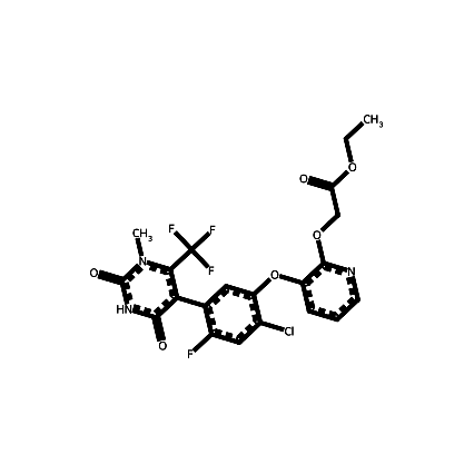 CCOC(=O)COc1ncccc1Oc1cc(-c2c(C(F)(F)F)n(C)c(=O)[nH]c2=O)c(F)cc1Cl